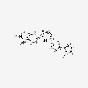 Cc1ccsc1-c1nnc(-c2cncc(-c3ccc(C(=O)N(C)C)cc3)n2)o1